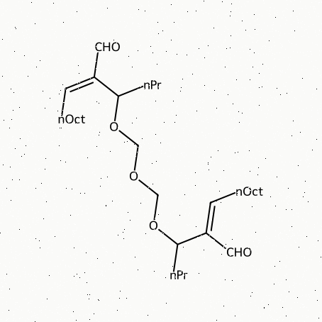 CCCCCCCCC=C(C=O)C(CCC)OCOCOC(CCC)C(C=O)=CCCCCCCCC